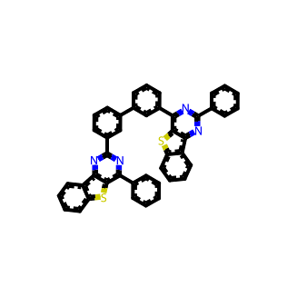 c1ccc(-c2nc(-c3cccc(-c4cccc(-c5nc(-c6ccccc6)c6sc7ccccc7c6n5)c4)c3)c3sc4ccccc4c3n2)cc1